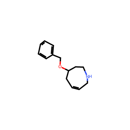 C1=C\CC(OCc2ccccc2)CCNC/1